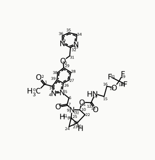 CC(=O)c1nn(CC(=O)N2[C@@H](OC(=O)NCCOC(F)(F)F)C[C@H]3C[C@H]32)c2ccc(OCc3ncccn3)cc12